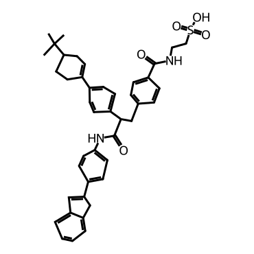 CC(C)(C)C1CC=C(c2ccc(C(Cc3ccc(C(=O)NCCS(=O)(=O)O)cc3)C(=O)Nc3ccc(C4=Cc5ccccc5C4)cc3)cc2)CC1